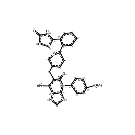 CCCc1c(Cc2ccc(-c3ccccc3-c3noc(=O)[nH]3)cc2)c(=O)n(-c2ccc(OC)cc2)c2ncnn12